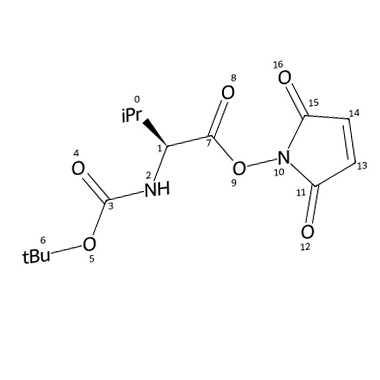 CC(C)[C@H](NC(=O)OC(C)(C)C)C(=O)ON1C(=O)C=CC1=O